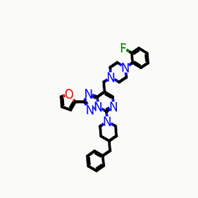 Fc1ccccc1N1CCN(Cc2cnc(N3CCC(Cc4ccccc4)CC3)n3nc(-c4ccco4)nc23)CC1